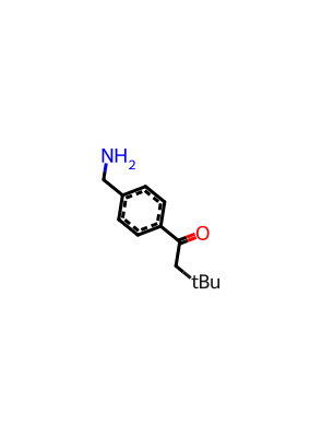 CC(C)(C)CC(=O)c1ccc(CN)cc1